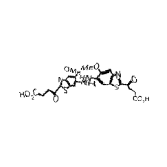 COc1cc2nc(C(=O)CCC(=O)O)sc2cc1NNc1cc2sc(C(=O)CCC(=O)O)nc2cc1OC